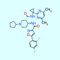 Cc1cc(C)nc(C2(NC(=O)[C@H]3CN(C4CCCC4)CC[C@@H]3NC(=O)c3cc(-c4ccc(F)cc4F)on3)CC2)n1